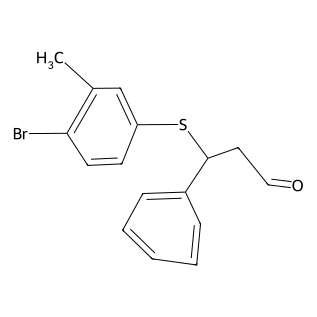 Cc1cc(SC(CC=O)c2ccccc2)ccc1Br